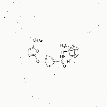 CC(=O)Nc1cnc(Oc2ccc(C(=O)N[C@@H]3C4CCN(CC4)[C@H]3C)cc2)o1